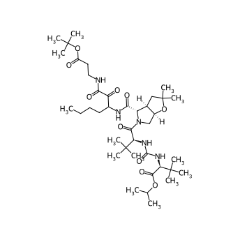 CCCCC(NC(=O)[C@@H]1[C@H]2CC(C)(C)O[C@H]2CN1C(=O)[C@@H](NC(=O)N[C@H](C(=O)OC(C)C)C(C)(C)C)C(C)(C)C)C(=O)C(=O)NCCC(=O)OC(C)(C)C